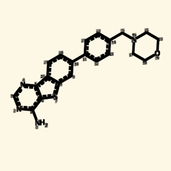 Nc1ncnc2c1sc1cc(-c3ccc(CN4CCOCC4)cc3)ccc12